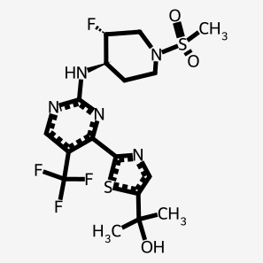 CC(C)(O)c1cnc(-c2nc(N[C@@H]3CCN(S(C)(=O)=O)C[C@H]3F)ncc2C(F)(F)F)s1